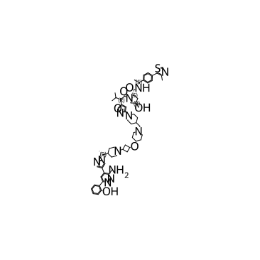 Cc1ncsc1-c1ccc([C@H](C)NC(=O)[C@@H]2C[C@@H](O)CN2C(=O)[C@@H](c2cc(N3CCC(CN4CCC(O[C@H]5C[C@H](N6CCC([C@@H](C)n7cc(-c8cc(-c9ccccc9O)nnc8N)cn7)CC6)C5)CC4)CC3)no2)C(C)C)cc1